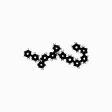 c1ccc(-c2ccc(-n3c4ccccc4c4cc(-c5ccc6c(c5)c5ccccc5n6-c5ccc(-c6ccc(-c7cccc(-c8cccc(-c9cccc(-c%10ccccc%10)c9)c8)c7)cc6)cc5)ccc43)cc2)cc1